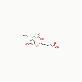 CCCCCCCC(=O)O.CCCCCCCC(=O)O.Oc1cccc(O)c1